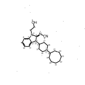 N#CN=c1n(CCO)c2ccccc2n1C1CCN(C2CCCCCCC2)CC1